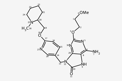 COCCOc1nc(N)c2[nH]c(=O)n(Cc3ccc(OCC4CCCCN4C)nc3)c2n1